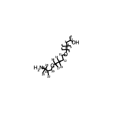 CC(O)CC(C)(C)C(C)(C)OCCC(C)(C)C(C)(C)OCC(C)C(C)(C)N